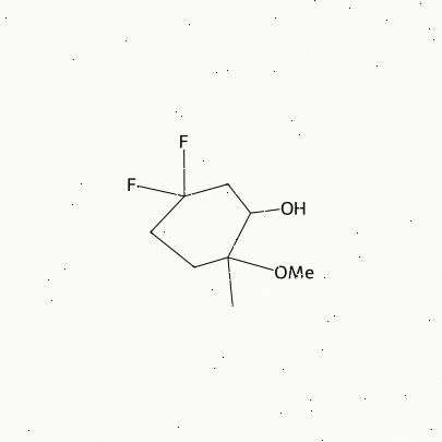 COC1(C)CCC(F)(F)CC1O